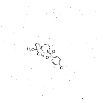 CC(C)(C)C1CCCN(S(=O)(=O)c2ccc(Cl)cc2)C1